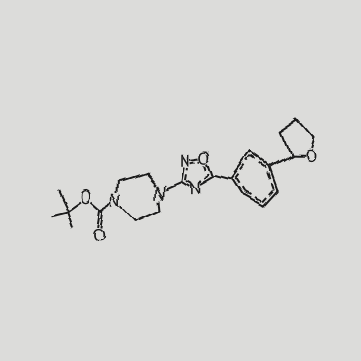 CC(C)(C)OC(=O)N1CCN(c2noc(-c3cccc(C4CCCO4)c3)n2)CC1